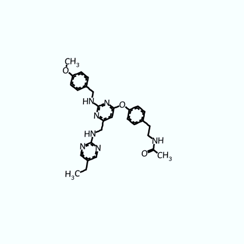 CCc1cnc(NCc2cc(Oc3ccc(CCNC(C)=O)cc3)nc(NCc3ccc(OC)cc3)n2)nc1